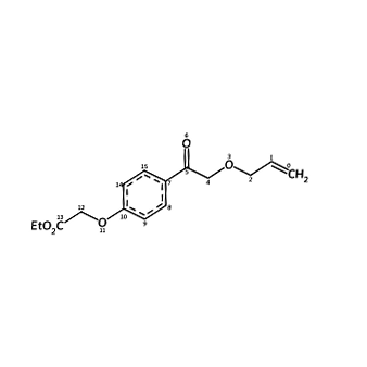 C=CCOCC(=O)c1ccc(OCC(=O)OCC)cc1